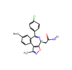 CCNC(=O)C[C@@H]1N=C(c2ccc(Cl)cc2)c2cc(OC)ccc2-c2c(C)noc21